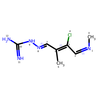 C\N=C/C(Cl)=C(C)/C=N/NC(=N)N